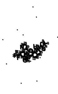 CC(C)(C)OC(=O)Nc1ccc2ccc(CN(C(=O)c3cccnc3)c3ccc(C(F)(F)F)cc3S(C)(=O)=O)cc2n1